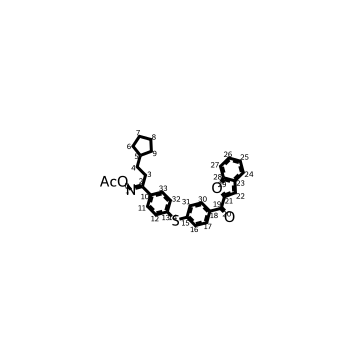 CC(=O)O/N=C(\CCC1CCCC1)c1ccc(Sc2ccc(C(=O)c3cc4ccccc4o3)cc2)cc1